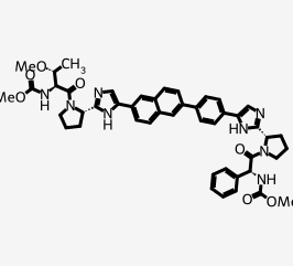 COC(=O)N[C@H](C(=O)N1CCC[C@H]1c1ncc(-c2ccc3cc(-c4ccc(-c5cnc([C@@H]6CCCN6C(=O)[C@H](NC(=O)OC)c6ccccc6)[nH]5)cc4)ccc3c2)[nH]1)[C@@H](C)OC